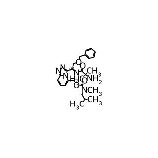 CC(C)CN(C)C(=O)OCc1cccc2nnc([C@@H](COCc3ccccc3)NC(=O)C(C)(C)N)n12